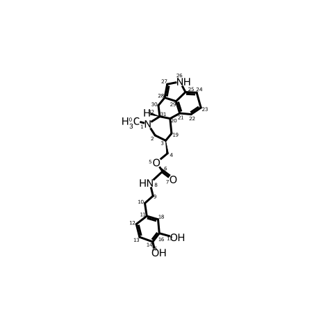 CN1C[C@H](COC(=O)NCCc2ccc(O)c(O)c2)CC2c3cccc4[nH]cc(c34)C[C@H]21